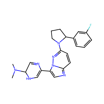 CN(C)C1C=NC(c2cnc3ccc(N4CCCC4c4cccc(F)c4)nn23)=CN1